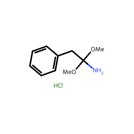 COC(N)(Cc1ccccc1)OC.Cl